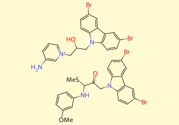 COc1cccc(NC(SC)C(=O)Cn2c3ccc(Br)cc3c3cc(Br)ccc32)c1.Nc1ccc[n+](CC(O)Cn2c3ccc(Br)cc3c3cc(Br)ccc32)c1